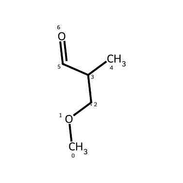 CO[CH]C(C)C=O